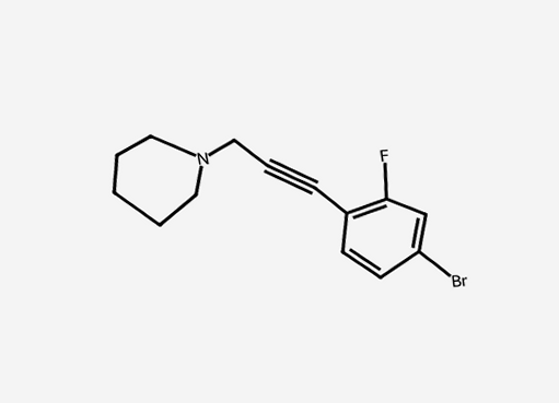 Fc1cc(Br)ccc1C#CCN1CCCCC1